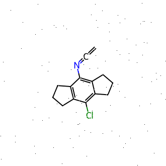 C=C=Nc1c2c(c(Cl)c3c1CCC3)CCC2